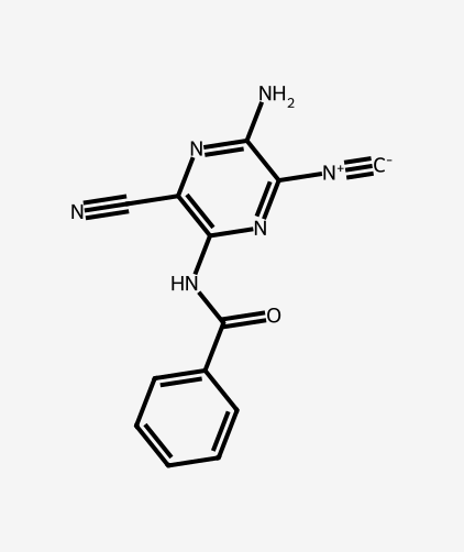 [C-]#[N+]c1nc(NC(=O)c2ccccc2)c(C#N)nc1N